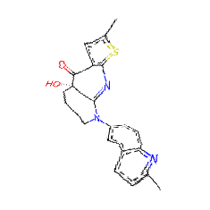 Cc1ccc2cc(N3CC[C@@]4(O)C(=O)c5cc(C)sc5N=C34)ccc2n1